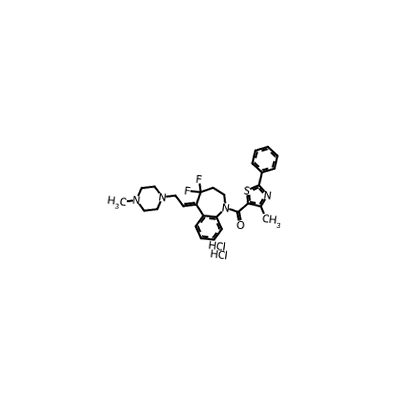 Cc1nc(-c2ccccc2)sc1C(=O)N1CCC(F)(F)/C(=C\CN2CCN(C)CC2)c2ccccc21.Cl.Cl